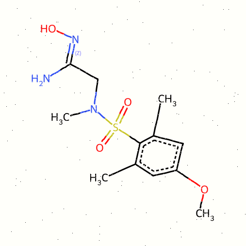 COc1cc(C)c(S(=O)(=O)N(C)C/C(N)=N/O)c(C)c1